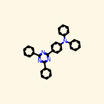 c1ccc(-c2nc(-c3ccccc3)nc(-c3ccc(N(c4ccccc4)c4ccccc4)cc3)n2)cc1